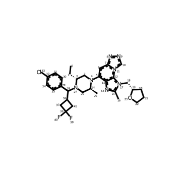 CC[C@@H]1CN(c2cc3nncn3c3c2nc(C)n3C[C@@H]2CCCO2)[C@@H](C)CN1C(c1ccc(Cl)cc1)C1CC(F)(F)C1